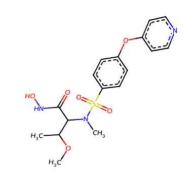 COC(C)C(C(=O)NO)N(C)S(=O)(=O)c1ccc(Oc2ccncc2)cc1